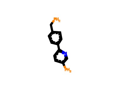 PCc1ccc(-c2ccc(P)cn2)cc1